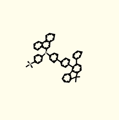 CC1(C)c2ccccc2-c2c1ccc(-c1ccccc1)c2-c1ccc(-c2ccc(N(c3ccc([Si](C)(C)C)cc3)c3cc4ccccc4c4ccccc34)cc2)cc1